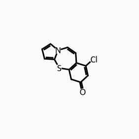 O=C1C=C(Cl)C2=C(C1)Sc1cccn1C=C2